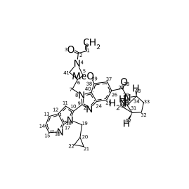 C=CC(=O)N1CC(Cn2c(-c3cc4cccnc4n3CC3CC3)nc3cc(C(=O)N4C[C@H]5CC[C@@H]4[C@@H]5N)cc(OC)c32)C1